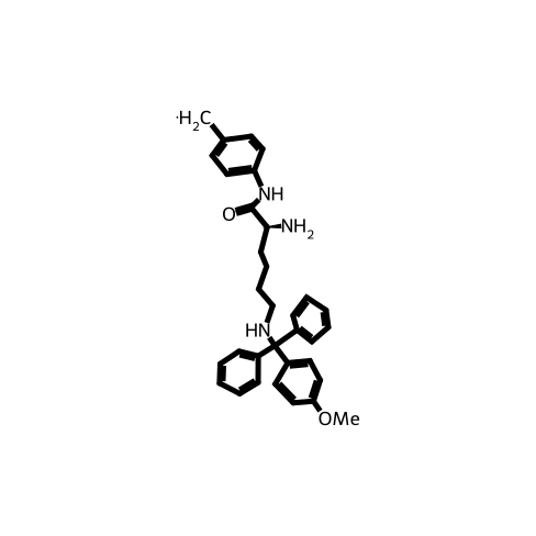 [CH2]c1ccc(NC(=O)[C@@H](N)CCCCNC(c2ccccc2)(c2ccccc2)c2ccc(OC)cc2)cc1